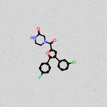 O=C1CN(C(=O)c2cc(-c3cccc(Cl)c3)c(-c3ccc(F)cc3)o2)CCN1